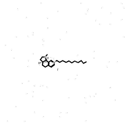 CCCCCCCCCCC[n+]1ccc2c(c1)[C@H]1[C@@H](CC2)CCN1C.[I-]